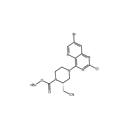 CCCCOC(=O)N1CCN(c2nc(Cl)nc3cc(Br)cnc23)C[C@@H]1CC#N